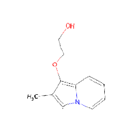 Cc1[c]n2ccccc2c1OCCO